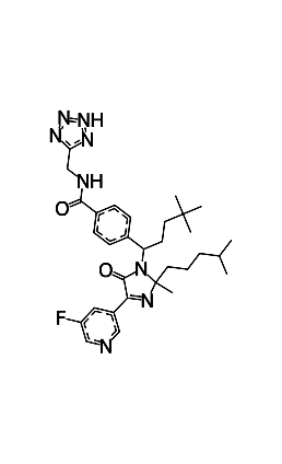 CC(C)CCCC1(C)N=C(c2cncc(F)c2)C(=O)N1C(CCC(C)(C)C)c1ccc(C(=O)NCc2nn[nH]n2)cc1